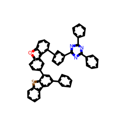 c1ccc(-c2cc(-c3ccc4oc5cccc(-c6cccc(-c7nc(-c8ccccc8)nc(-c8ccccc8)n7)c6)c5c4c3)c3sc4ccccc4c3c2)cc1